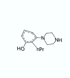 CCCc1c(O)cccc1N1CCNCC1